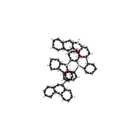 c1ccc(N(c2ccc(-c3cc4ccccc4c4ccccc34)cc2)c2ccccc2-n2c3ccccc3c3ccccc32)c(-c2ccc3oc4cc5ccccc5cc4c3c2)c1